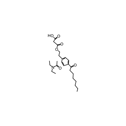 CCCCCCCC(=O)c1ccc(CCOC(=O)CC(=O)O)cc1.CCN(CC)C(C)=O